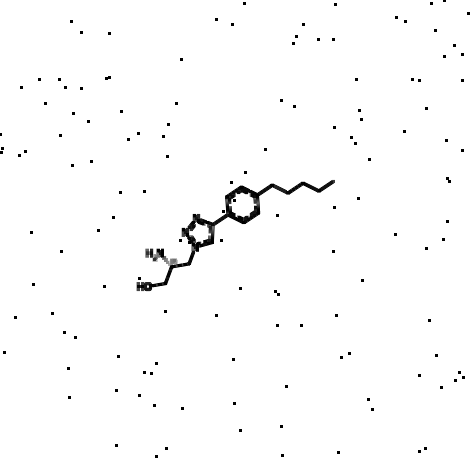 CCCCCc1ccc(-c2cn(C[C@@H](N)CO)nn2)cc1